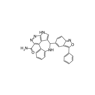 NC(=O)c1nnc2[nH]cc3c2c1-c1ccccc1NC3c1ccc2noc(-c3ccccc3)c2c1